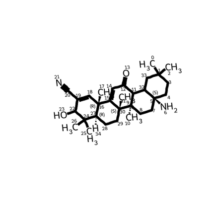 CC1(C)CC[C@]2(N)CC[C@]3(C)C(C(=O)C=C4[C@@]5(C)C=C(C#N)C(O)C(C)(C)[C@@H]5CC[C@]43C)C2C1